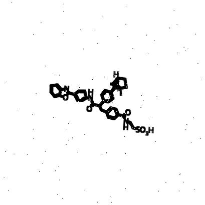 CC1(C)[C@H]2C=C(c3ccc(C(Cc4ccc(C(=O)NCCS(=O)(=O)O)cc4)C(=O)Nc4ccc(-c5nc6ccccc6o5)cc4)cc3)[C@@]1(C)CC2